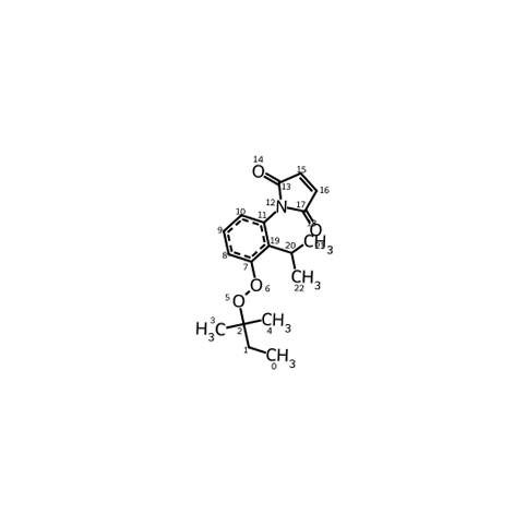 CCC(C)(C)OOc1cccc(N2C(=O)C=CC2=O)c1C(C)C